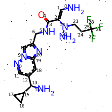 N/C=C(/C(=O)NCc1cn2ncc(C(N)C3CC3)cc2n1)N(N)CCC(F)(F)F